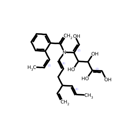 C=CC(/C=C/C)C/C=C/N(C(=C)c1ccccc1/C=C\C)/C(=C\O)C(O)C(O)/C(O)=C/O